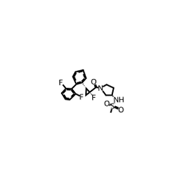 CS(=O)(=O)N[C@H]1CCN(C(=O)[C@@]2(F)C[C@@H]2c2ccccc2-c2c(F)cccc2F)C1